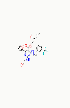 CCCC(CCOC(=O)c1c(NC2(c3cccc(C(F)(F)F)c3)CC2)nc(NCCOC)nc1-c1ccco1)OC